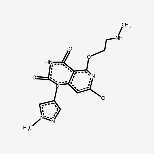 CNCCOc1nc(Cl)cc2c1c(=O)[nH]c(=O)n2-c1cnn(C)c1